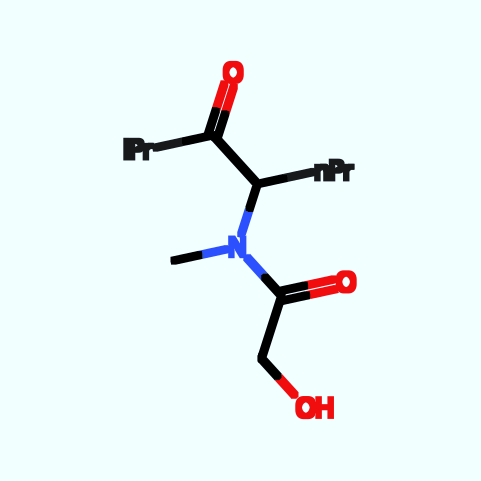 CCCC(C(=O)C(C)C)N(C)C(=O)CO